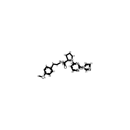 COc1ccc(CCNC(=O)C2CCCN2c2ccnc(-n3ccnc3)n2)cc1